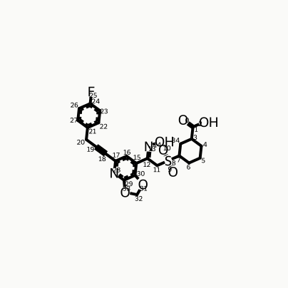 O=C(O)C1CCCC(S(=O)(=O)C/C(=N\O)c2cc(C#CCc3ccc(F)cc3)nc3c2OCO3)C1